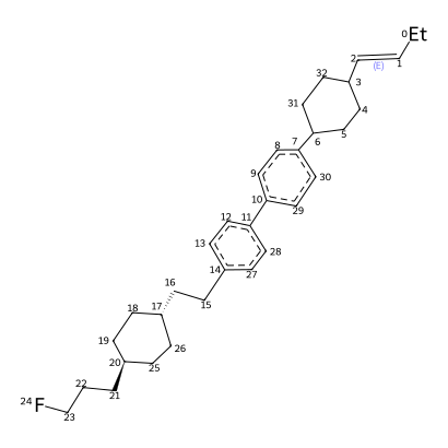 CC/C=C/C1CCC(c2ccc(-c3ccc(CC[C@H]4CC[C@H](CCCF)CC4)cc3)cc2)CC1